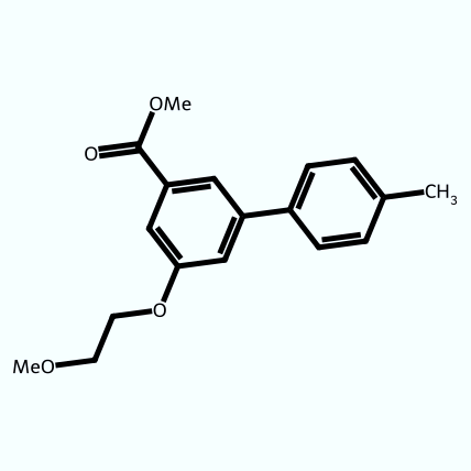 COCCOc1cc(C(=O)OC)cc(-c2ccc(C)cc2)c1